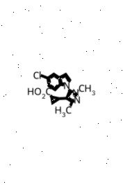 Cc1nn(C)c(-n2ccc3cc(Cl)ccc32)c1C1CC1C(=O)O